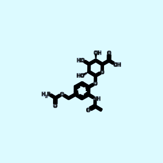 BC(=O)OCc1ccc(OC2OC(C(=O)O)[C@@H](O)C(O)[C@H]2O)c(NC(C)=O)c1